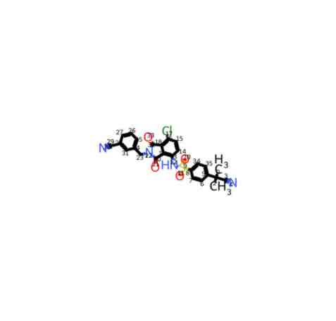 CC(C)(C#N)c1ccc(S(=O)(=O)Nc2ccc(Cl)c3c2C(=O)N(Cc2cccc(C#N)c2)C3=O)cc1